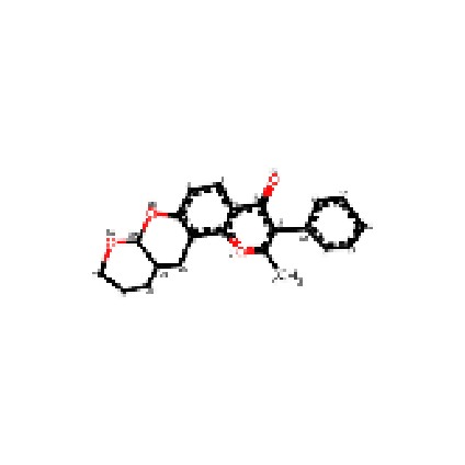 Cc1oc2c3c(ccc2c(=O)c1-c1ccccc1)OC1OCCCC1C3